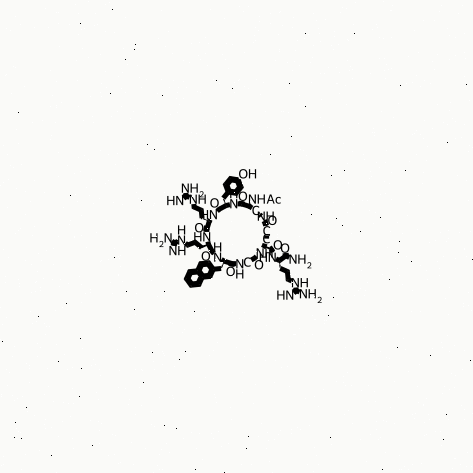 CC(=O)N[C@H]1CNC(=O)CC[C@@H](C(=O)N[C@@H](CCCNC(=N)N)C(N)=O)NC(=O)CNC(=O)[C@H](Cc2ccc3ccccc3c2)NC(=O)[C@@H](CCCNC(=N)N)NC(=O)[C@H](CCCNC(=N)N)NC(=O)[C@H](Cc2ccc(O)cc2)NC1=O